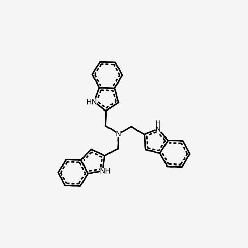 c1ccc2[nH]c(CN(Cc3cc4ccccc4[nH]3)Cc3cc4ccccc4[nH]3)cc2c1